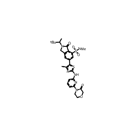 CNS(=O)(=O)c1cc(-c2sc(Nc3cccc(N4CCOCC4=O)n3)nc2C)cc2c1C(=O)N(C(C)C(C)(C)C)C2